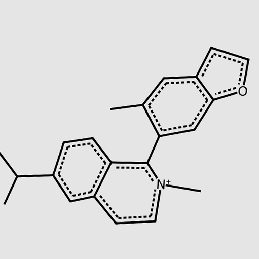 Cc1cc2ccoc2cc1-c1c2ccc(C(C)C)cc2cc[n+]1C